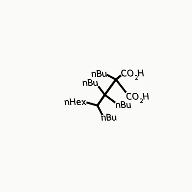 CCCCCCC(CCCC)C(CCCC)(CCCC)C(CCCC)(C(=O)O)C(=O)O